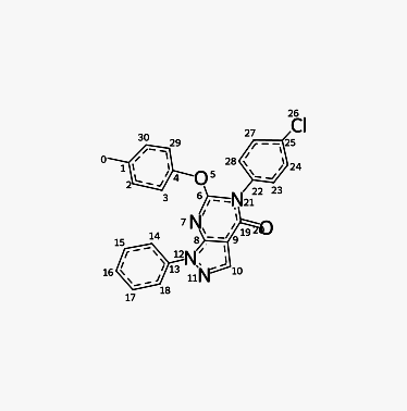 Cc1ccc(Oc2nc3c(cnn3-c3ccccc3)c(=O)n2-c2ccc(Cl)cc2)cc1